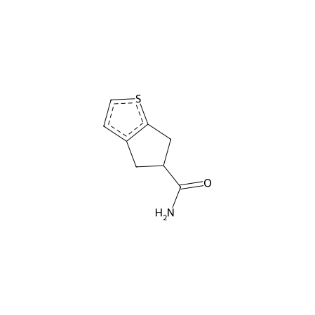 NC(=O)C1Cc2ccsc2C1